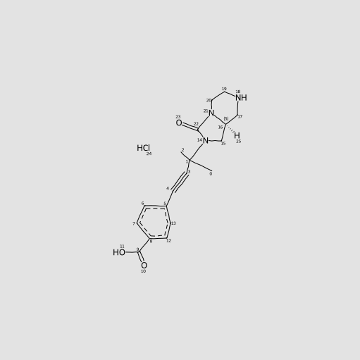 CC(C)(C#Cc1ccc(C(=O)O)cc1)N1C[C@@H]2CNCCN2C1=O.Cl